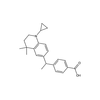 CC(c1ccc(C(=O)O)cc1)c1ccc2c(c1)C(C)(C)CCN2C1CC1